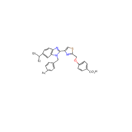 CCC(CC)c1ccc2nc(-c3csc(COc4ccc(C(=O)O)cc4)n3)n(Cc3ccc(C(C)=O)cc3)c2c1